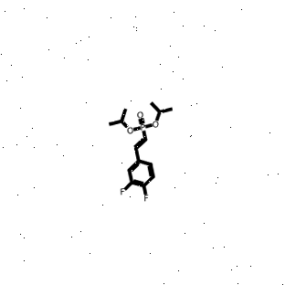 CC(C)OP(=O)(/C=C/c1ccc(F)c(F)c1)OC(C)C